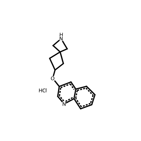 Cl.c1ccc2ncc(OC3CC4(CNC4)C3)cc2c1